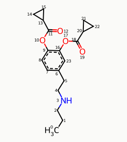 CCCNCCc1ccc(OC(=O)C2CC2)c(OC(=O)C2CC2)c1